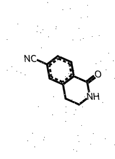 N#Cc1ccc2c(c1)CCNC2=O